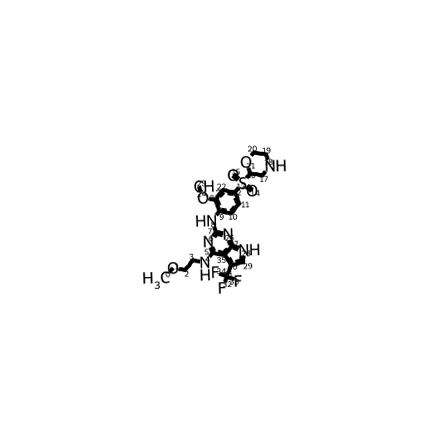 COCCNc1nc(Nc2ccc(S(=O)(=O)C3CNCCO3)cc2OC)nc2[nH]cc(C(F)(F)F)c12